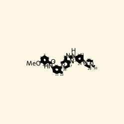 COc1cccc(C(=O)Nc2ccc(C)c(N3CCc4nc(Nc5ccc(N6CCN(C)CC6)cc5)ncc4C3)c2)c1